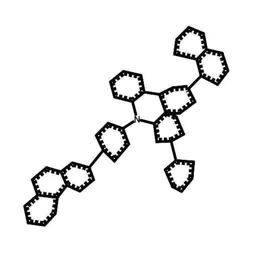 c1ccc(-c2cccc(N(c3ccc(-c4ccc5c(ccc6ccccc65)c4)cc3)c3ccccc3-c3cccc(-c4cccc5ccccc45)c3)c2)cc1